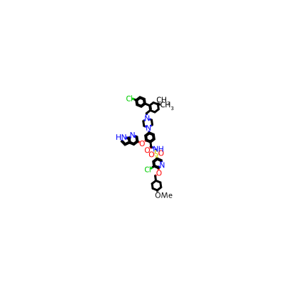 COC1CCC(COc2ncc(S(=O)(=O)NC(=O)c3ccc(N4CCN(CC5=C(c6ccc(Cl)cc6)CC(C)(C)CC5)CC4)cc3Oc3cnc4[nH]ccc4c3)cc2Cl)CC1